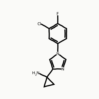 NC1(c2cn(-c3ccc(F)c(Cl)c3)cn2)CC1